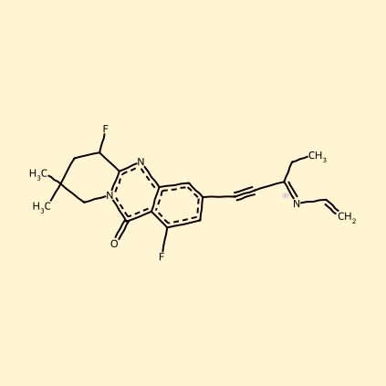 C=C/N=C(/C#Cc1cc(F)c2c(=O)n3c(nc2c1)C(F)CC(C)(C)C3)CC